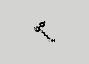 Cc1ccc(-c2cnccc2SCCCCCCO)cc1